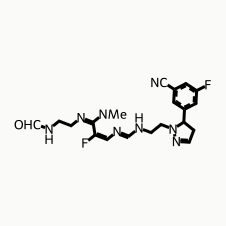 CNC(=N/CCNC=O)/C(F)=C\N=C\NCCN1N=CCC1c1cc(F)cc(C#N)c1